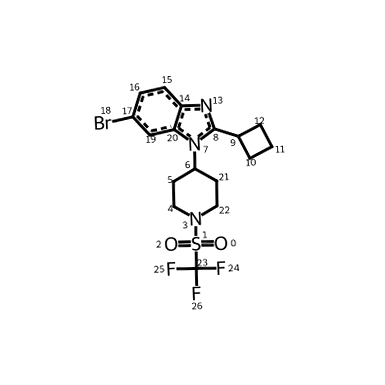 O=S(=O)(N1CCC(n2c(C3CCC3)nc3ccc(Br)cc32)CC1)C(F)(F)F